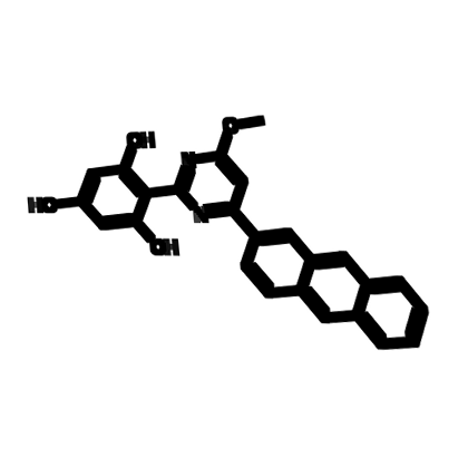 COc1cc(-c2ccc3cc4ccccc4cc3c2)nc(-c2c(O)cc(O)cc2O)n1